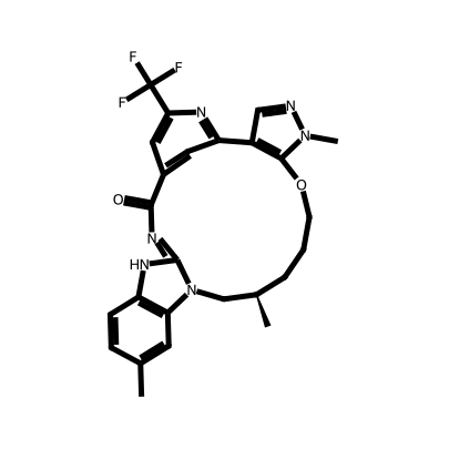 Cc1ccc2c(c1)N1C[C@H](C)CCCOc3c(cnn3C)-c3cc(cc(C(F)(F)F)n3)C(=O)/N=C/1N2